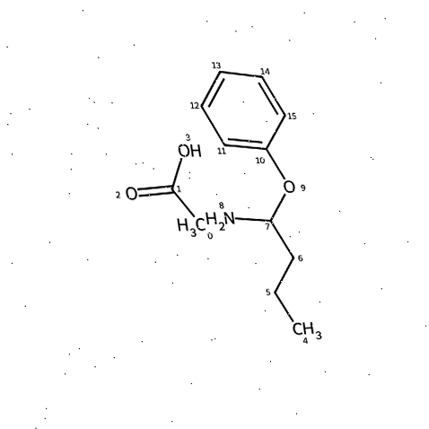 CC(=O)O.CCCC(N)Oc1ccccc1